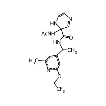 CC(=O)NC1(C(=O)NC(C)c2cc(C)nc(OCC(F)(F)F)c2)C=NC=CN1